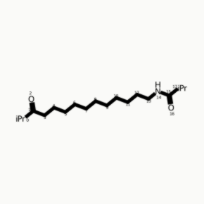 CC(C)C(=O)CCCCCCCCCCCNC(=O)C(C)C